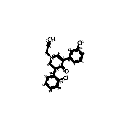 C#CCN1C=C(c2cccc(Cl)c2)C(=O)C(c2ccccc2Cl)C1